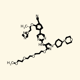 COCCOCCOCCCOc1nn([C@H]2CC[C@H](N3CCOCC3)CC2)cc1Nc1ncc(-c2ccc(C#N)c(O[C@@H](C)Cn3cncn3)c2)cn1